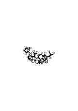 CO[C@@H]1[C@H](N(C(=O)O)C(c2nccn2C[C@@H]2CCCN2C)C(C)C)CC[C@]2(CO2)[C@H]1[C@@]1(C)O[C@@H]1CC=C(C)C